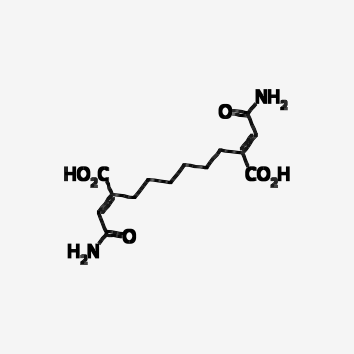 NC(=O)/C=C(\CCCCCC/C(=C\C(N)=O)C(=O)O)C(=O)O